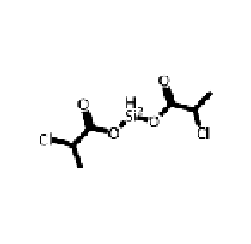 CC(Cl)C(=O)O[SiH2]OC(=O)C(C)Cl